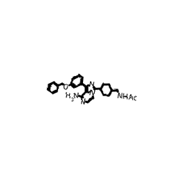 CC(=O)NCC1CCC(c2nc(-c3cccc(OCc4ccccc4)c3)c3c(N)nccn23)CC1